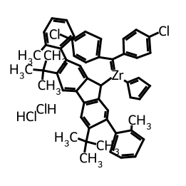 Cc1ccccc1-c1cc2c(cc1C(C)(C)C)-c1cc(C(C)(C)C)c(-c3ccccc3C)cc1[CH]2[Zr]([C]1=CC=CC1)=[C](c1ccc(Cl)cc1)c1ccc(Cl)cc1.Cl.Cl